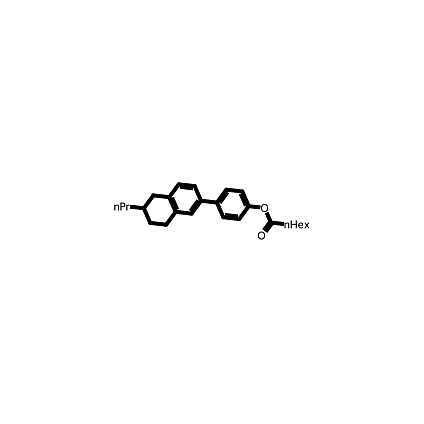 CCCCCCC(=O)Oc1ccc(-c2ccc3c(c2)CCC(CCC)C3)cc1